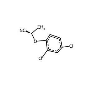 C[C@H](C#N)Oc1ccc(Cl)cc1Cl